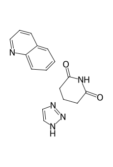 O=C1CCCC(=O)N1.c1c[nH]nn1.c1ccc2ncccc2c1